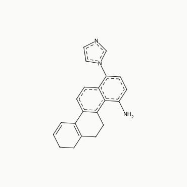 Nc1ccc(-n2ccnc2)c2ccc3c(c12)CCC1=C3C=CCC1